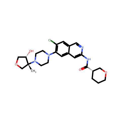 C[C@@]1(N2CCN(c3cc4cc(NC(=O)[C@H]5CCCOC5)ncc4cc3Cl)CC2)COC[C@@H]1O